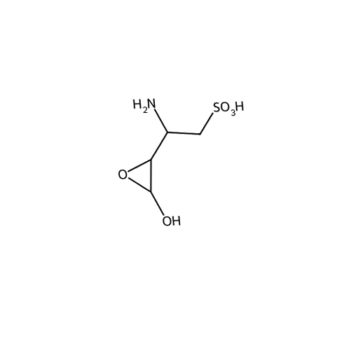 NC(CS(=O)(=O)O)C1OC1O